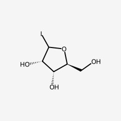 OC[C@@H]1OC(I)[C@@H](O)[C@H]1O